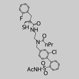 CCCC(=O)N(CCNC(=O)[C@@H](CS)Cc1ccccc1F)Cc1ccc(-c2ccccc2S(=O)(=O)NC(C)=O)c(Cl)c1